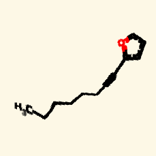 CCCCCCC#Cc1ccco1